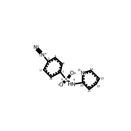 N#[N+]c1ccc(S(=O)(=O)Nc2ccccn2)cc1